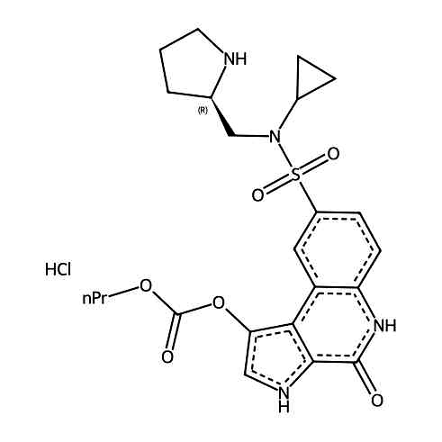 CCCOC(=O)Oc1c[nH]c2c(=O)[nH]c3ccc(S(=O)(=O)N(C[C@H]4CCCN4)C4CC4)cc3c12.Cl